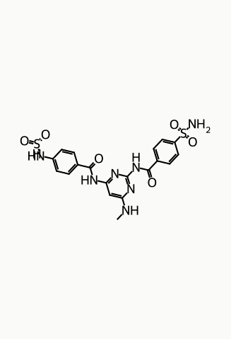 CNc1cc(NC(=O)c2ccc(N[SH](=O)=O)cc2)nc(NC(=O)c2ccc(S(N)(=O)=O)cc2)n1